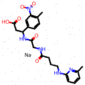 Cc1cccc(NCCCC(=O)NCC(=O)NC(CC(=O)O)c2ccc(C)c([N+](=O)[O-])c2)n1.[Na]